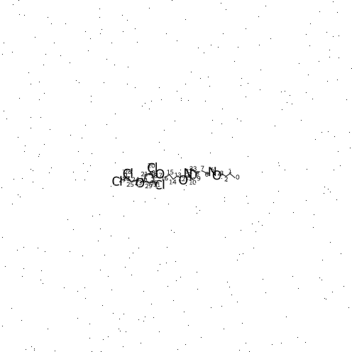 CCCCON=CCc1ccc(OCCCCOc2c(Cl)cc(OCC=C(Cl)Cl)cc2Cl)nc1